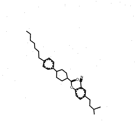 CCCCCCCc1ccc(C2CCC(C(=O)Oc3ccc(CCC(C)C)cc3C#N)CC2)cc1